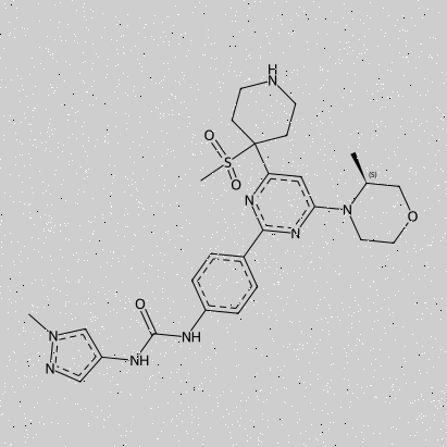 C[C@H]1COCCN1c1cc(C2(S(C)(=O)=O)CCNCC2)nc(-c2ccc(NC(=O)Nc3cnn(C)c3)cc2)n1